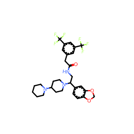 O=C(Cc1cc(C(F)(F)F)cc(C(F)(F)F)c1)NCC(c1ccc2c(c1)OCO2)N1CCC(N2CCCCC2)CC1